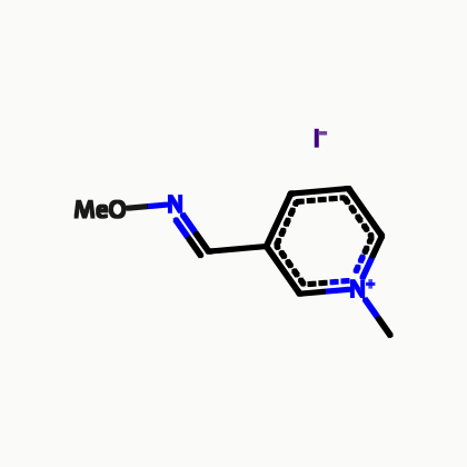 CO/N=C/c1ccc[n+](C)c1.[I-]